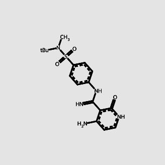 CN(C(C)(C)C)S(=O)(=O)c1ccc(NC(=N)c2c(N)cc[nH]c2=O)cc1